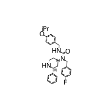 CC(C)Oc1ccc(CNC(=O)N(Cc2ccc(F)cc2)[C@H]2CCN[C@@H](c3ccccc3)C2)cc1